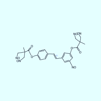 CC(CN=O)(CN=O)C(=O)Oc1ccc(/C=C/c2cc(N=O)cc(OC(=O)C(C)(CN=O)CN=O)c2)cc1